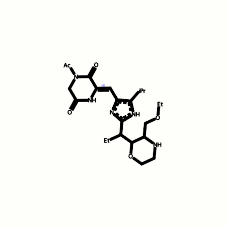 CCOCC1NCCOC1C(CC)c1nc(/C=C2\NC(=O)CN(C(C)=O)C2=O)c(C(C)C)[nH]1